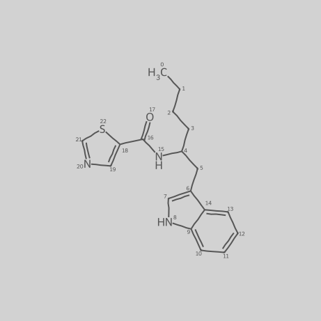 CCCCC(Cc1c[nH]c2ccccc12)NC(=O)c1cncs1